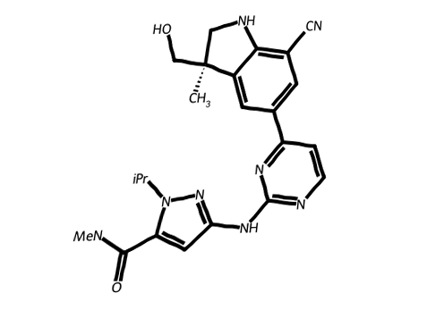 CNC(=O)c1cc(Nc2nccc(-c3cc(C#N)c4c(c3)[C@@](C)(CO)CN4)n2)nn1C(C)C